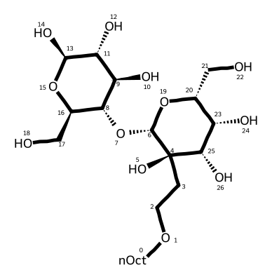 CCCCCCCCOCC[C@]1(O)[C@H](O[C@H]2[C@H](O)[C@@H](O)[C@H](O)O[C@@H]2CO)O[C@H](CO)[C@H](O)[C@@H]1O